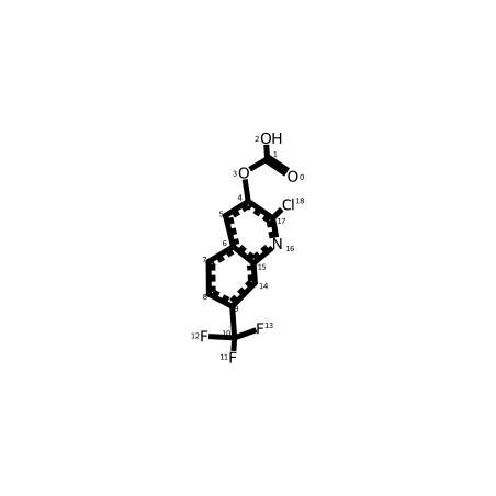 O=C(O)Oc1cc2ccc(C(F)(F)F)cc2nc1Cl